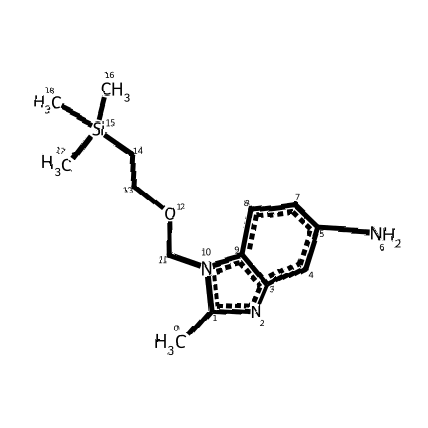 Cc1nc2cc(N)ccc2n1COCC[Si](C)(C)C